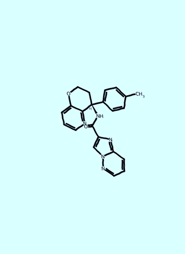 Cc1ccc([C@@]2(NC(=O)c3cn4ncccc4n3)CCOc3cccnc32)cc1